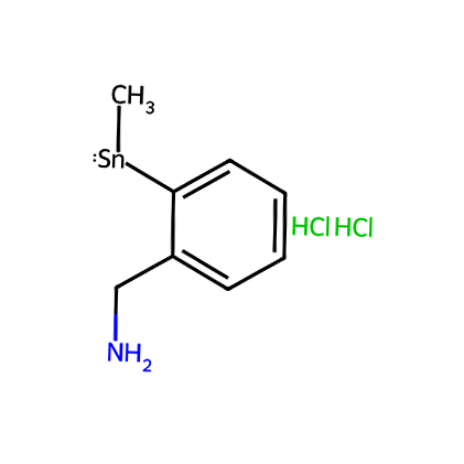 Cl.Cl.[CH3][Sn][c]1ccccc1CN